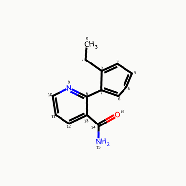 CCc1ccccc1-c1ncccc1C(N)=O